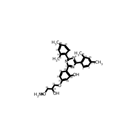 Cc1ccc(-c2nc(-c3ccc(C)cc3C)nc(-c3ccc(OCC(O)CON)cc3O)n2)c(C)c1